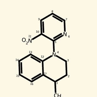 CC1CCN(c2ncccc2[N+](=O)[O-])c2ccccc21